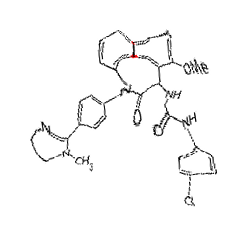 COc1ccccc1C(NC(=O)Nc1ccc(Cl)cc1)C(=O)N(c1ccccc1)c1ccc(C2=NCCN2C)cc1